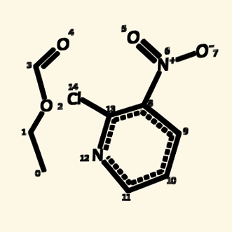 CCOC=O.O=[N+]([O-])c1cccnc1Cl